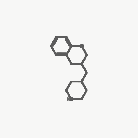 c1ccc2c(c1)CC(CC1CCNCC1)CO2